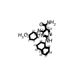 C[C@H]1CCC[C@@H](Nc2nc(N[C@H]3CCCc4ccccc43)ncc2C(N)=O)C1